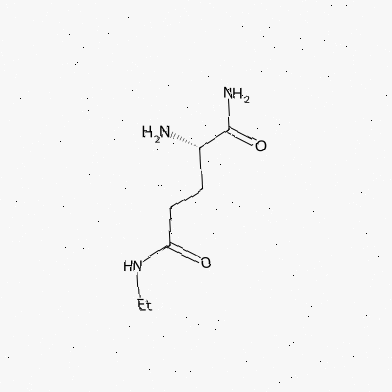 CCNC(=O)CC[C@H](N)C(N)=O